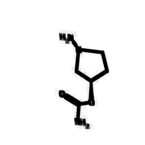 NC(=O)O[C@@H]1CCN(N)C1